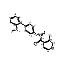 CSc1ccccc1-c1ccc(NC(=O)c2ccncc2C)cc1